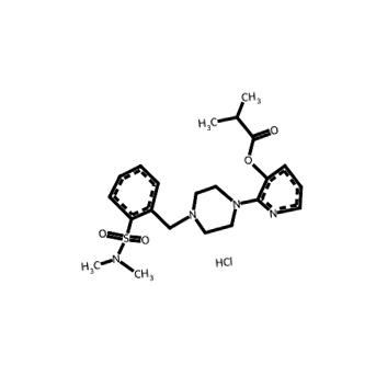 CC(C)C(=O)Oc1cccnc1N1CCN(Cc2ccccc2S(=O)(=O)N(C)C)CC1.Cl